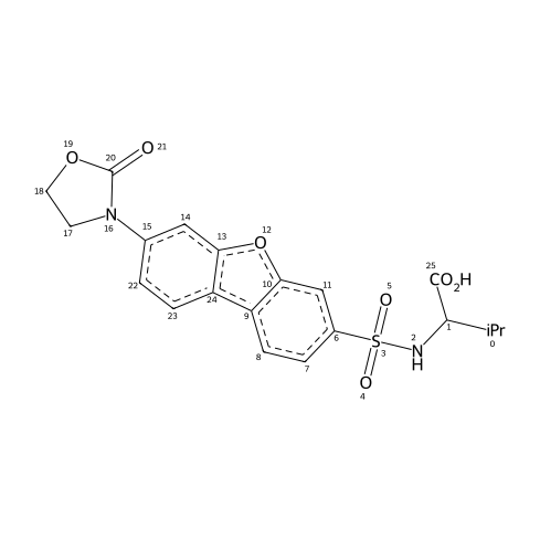 CC(C)C(NS(=O)(=O)c1ccc2c(c1)oc1cc(N3CCOC3=O)ccc12)C(=O)O